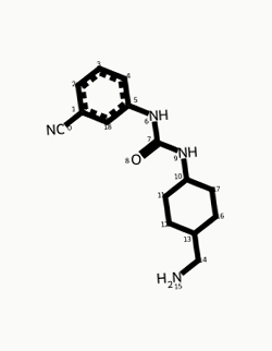 N#Cc1cccc(NC(=O)NC2CCC(CN)CC2)c1